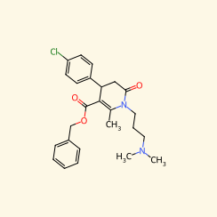 CC1=C(C(=O)OCc2ccccc2)C(c2ccc(Cl)cc2)CC(=O)N1CCCN(C)C